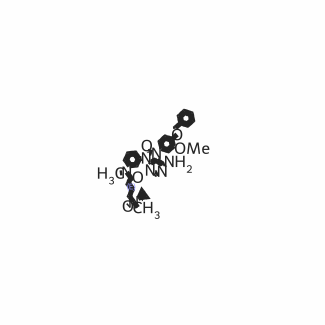 COc1cc(-n2c(=O)n(-c3cccc(N(C)C(=O)/C=C/C[N+](C)([O-])C4CC4)c3)c3ncnc(N)c32)ccc1OCc1ccccc1